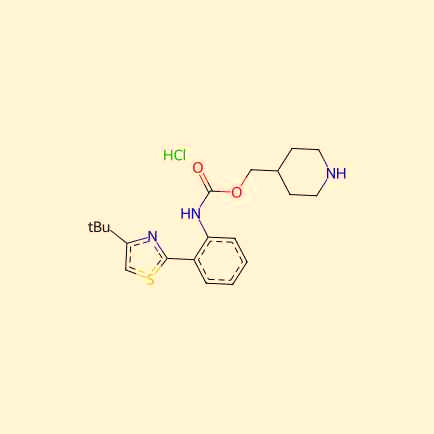 CC(C)(C)c1csc(-c2ccccc2NC(=O)OCC2CCNCC2)n1.Cl